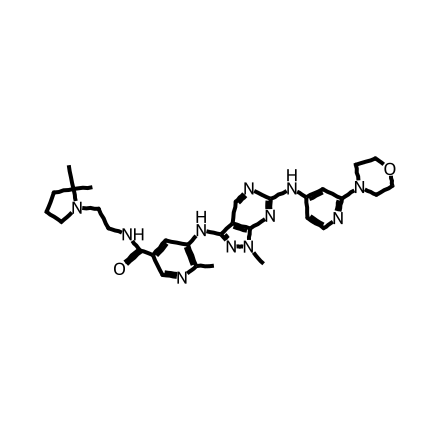 Cc1ncc(C(=O)NCCN2CCCC2(C)C)cc1Nc1nn(C)c2nc(Nc3ccnc(N4CCOCC4)c3)ncc12